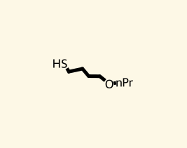 [CH2]CCOCCCCS